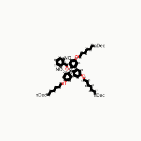 CCCCCCCCCCCCCCCCOc1ccc([Si](OCc2c([N+](=O)[O-])cccc2[N+](=O)[O-])(c2ccc(OCCCCCCCCCCCCCCCC)cc2)c2ccc(OCCCCCCCCCCCCCCCC)cc2)cc1